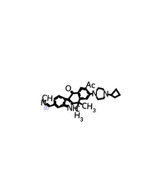 C/N=C\c1ccc2c3c([nH]c2c1)C(C)(C)c1cc(N2CCN(C4CCC4)CC2)c(C(C)=O)cc1C3=O